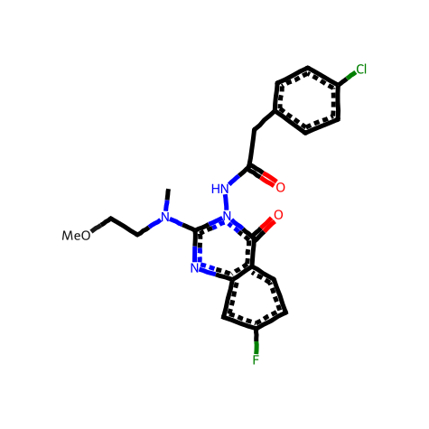 COCCN(C)c1nc2cc(F)ccc2c(=O)n1NC(=O)Cc1ccc(Cl)cc1